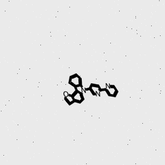 c1ccc(-c2ccc(-n3c4ccccc4c4c5occc5ccc43)cn2)nc1